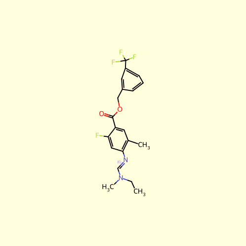 CCN(C)/C=N/c1cc(F)c(C(=O)OCc2cccc(C(F)(F)F)c2)cc1C